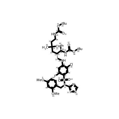 COc1ccc(CN(c2ncns2)S(=O)(=O)c2cc(Cl)c(NC[C@H](CC(C)(C)CCNC(=O)OC(C)(C)C)[C@H](NC(=O)OC(C)(C)C)C(C)C)cc2F)c(OC)c1